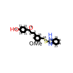 COc1ccc(/C=C/C(=O)c2ccc(O)cc2)cc1CSc1nc2ccccc2[nH]1